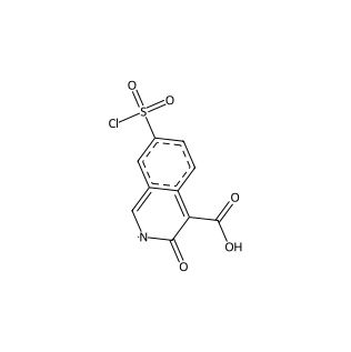 O=C(O)C1=c2ccc(S(=O)(=O)Cl)cc2=C[N]C1=O